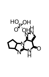 O=C1NC2=NC3CCCC3N2c2n[nH]cc21.O=P(O)(O)O